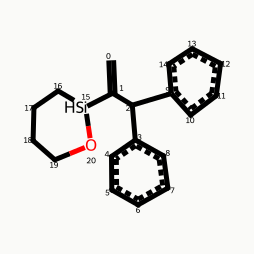 C=C(C(c1ccccc1)c1ccccc1)[SiH]1CCCCO1